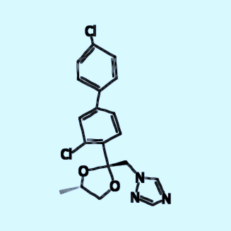 C[C@H]1CO[C@@](Cn2cncn2)(c2ccc(-c3ccc(Cl)cc3)cc2Cl)O1